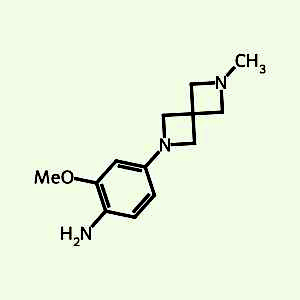 COc1cc(N2CC3(CN(C)C3)C2)ccc1N